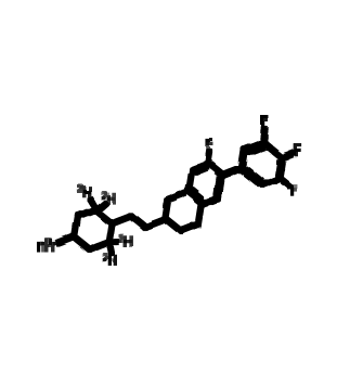 [2H]C1([2H])CC(CCC)CC([2H])([2H])C1CCC1CCc2cc(-c3cc(F)c(F)c(F)c3)c(F)cc2C1